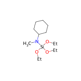 CCO[Si](OCC)(OCC)N(C)C1CCCCC1